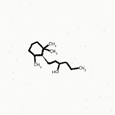 CCCC(O)CC[C@H]1C(C)CCCC1(C)C